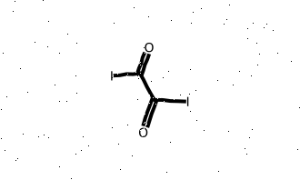 O=C(I)C(=O)I